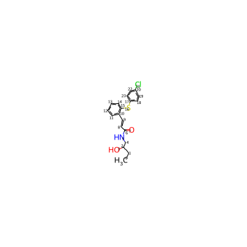 CCC(O)CNC(=O)/C=C/c1ccccc1Sc1ccc(Cl)cc1